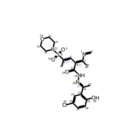 C=N/C(F)=C(\C=C(/C)S(=O)(=O)N1CCOCC1)C(=O)N/N=C(\C)c1cc(Cl)ccc1O